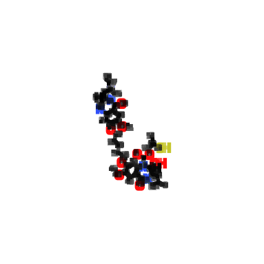 C=C1C[C@H]2[C@H](O)N(C(=O)OC[C@@H](C)S)c3cc(OCCCCCOc4cc5c(cc4OC)C(=O)N4C/C(=C/C)C[C@H]4C=N5)c(OC)cc3C(=O)N2C1